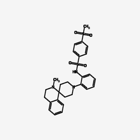 CN1CCc2ccccc2C12CCN(c1ccccc1NS(=O)(=O)c1ccc(S(C)(=O)=O)cc1)CC2